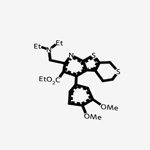 CCOC(=O)c1c(CN(CC)CC)nc2sc3c(c2c1-c1ccc(OC)c(OC)c1)CCSC3